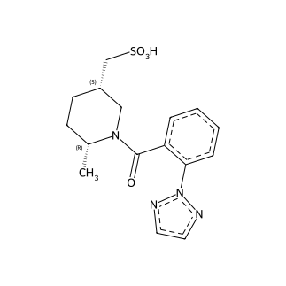 C[C@@H]1CC[C@H](CS(=O)(=O)O)CN1C(=O)c1ccccc1-n1nccn1